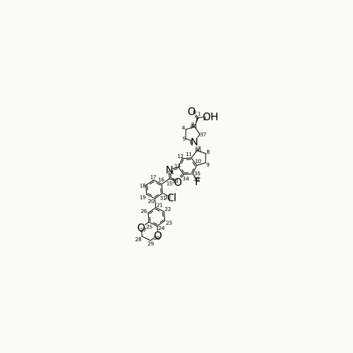 O=C(O)[C@@H]1CCN([C@@H]2CCc3c2cc2nc(-c4cccc(-c5ccc6c(c5)OCCO6)c4Cl)oc2c3F)C1